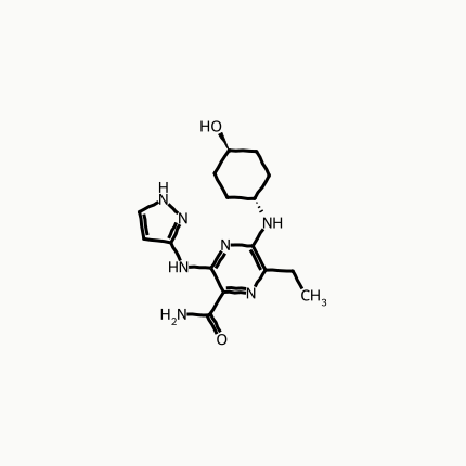 CCc1nc(C(N)=O)c(Nc2cc[nH]n2)nc1N[C@H]1CC[C@H](O)CC1